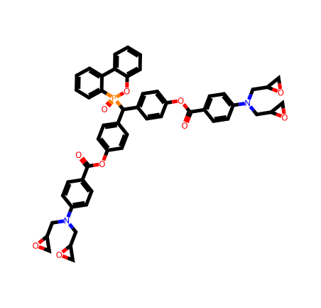 O=C(Oc1ccc(C(c2ccc(OC(=O)c3ccc(N(CC4CO4)CC4CO4)cc3)cc2)P2(=O)Oc3ccccc3-c3ccccc32)cc1)c1ccc(N(CC2CO2)CC2CO2)cc1